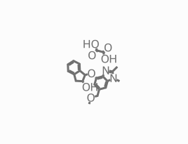 COCc1cc(OC2c3ccccc3CC2O)c2nc(C)n(C)c2c1.O=C(O)C(=O)O